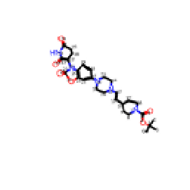 CC(C)(C)OC(=O)N1CCC(CCN2CCN(c3ccc4c(c3)oc(=O)n4C3CCC(=O)NC3=O)CC2)CC1